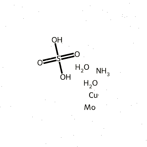 N.O.O.O=S(=O)(O)O.[Cu].[Mo]